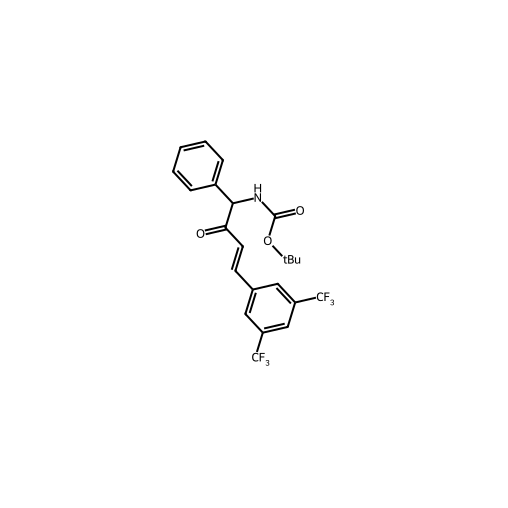 CC(C)(C)OC(=O)NC(C(=O)C=Cc1cc(C(F)(F)F)cc(C(F)(F)F)c1)c1ccccc1